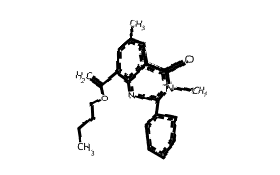 C=C(OCCCC)c1cc(C)cc2c(=O)n(C)c(-c3ccccc3)nc12